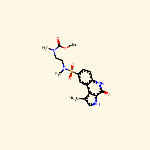 CN(CCN(C)S(=O)(=O)c1ccc2[nH]c(=O)c3[nH]cc(C(=O)O)c3c2c1)C(=O)OC(C)(C)C